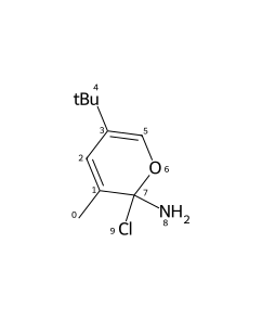 CC1=CC(C(C)(C)C)=COC1(N)Cl